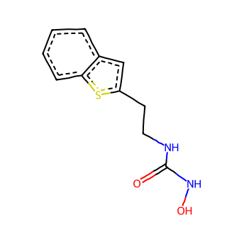 O=C(NO)NCCc1cc2ccccc2s1